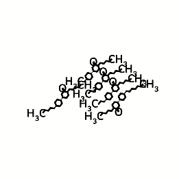 CCCCCC1CCC([C@H]2CC[C@H](CC)CC2)CC1=O.CCCCCC1CCC([C@H]2CC[C@H](CCC)CC2)CC1=O.CCCCCC1CCC([C@H]2CC[C@H](CCCC)CC2)CC1=O.CCCCCC1CCC([C@H]2CC[C@H](CCCCC)CC2)CC1=O.CCCCCCC[C@H]1CC[C@H](C2CCC(CCCCC)C(=O)C2)CC1